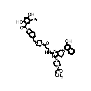 C=CC(=O)N1CCN(c2nc(NCCC(=O)N3CCN(Cc4ccc5c(c4)CN(C(=O)c4cc(C(C)C)c(O)cc4O)C5)CC3)nc3c2CCN(c2cc(O)cc4ccccc24)C3)CC1